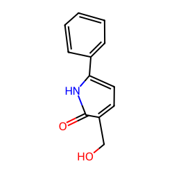 O=c1[nH]c(-c2ccccc2)ccc1CO